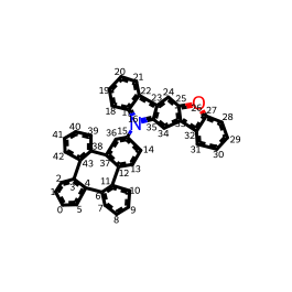 c1ccc2c(c1)-c1ccccc1-c1ccc(-n3c4ccccc4c4cc5oc6ccccc6c5cc43)cc1-c1ccccc1-2